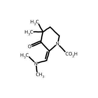 CN(C)/C=C1\C(=O)C(C)(C)CCN1C(=O)O